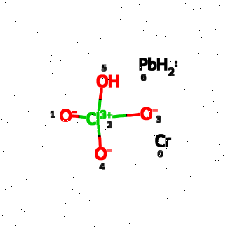 [Cr].[O-][Cl+3]([O-])([O-])O.[PbH2]